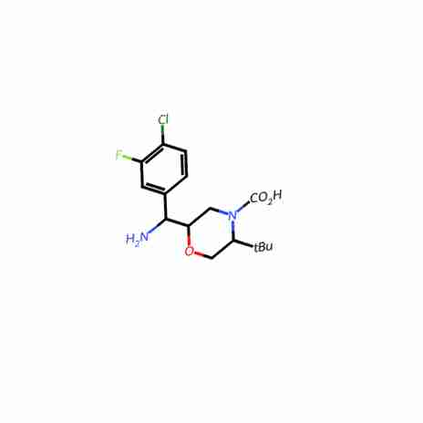 CC(C)(C)C1COC(C(N)c2ccc(Cl)c(F)c2)CN1C(=O)O